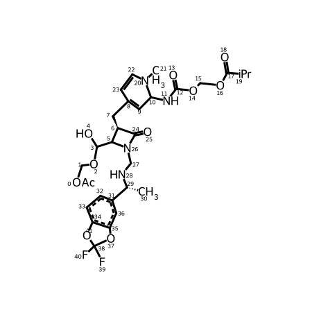 CC(=O)OCOC(O)C1[C@@H](CC2=CC(NC(=O)OCOC(=O)C(C)C)N(C)C=C2)C(=O)N1CN[C@H](C)c1ccc2c(c1)OC(F)(F)O2